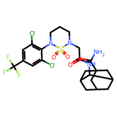 NC(=O)C12CC3CC(C1)C(NC(=O)CN1CCCN(c4c(Cl)cc(C(F)(F)F)cc4Cl)S1(=O)=O)C(C3)C2